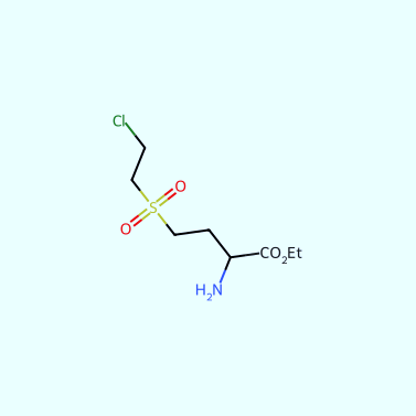 CCOC(=O)C(N)CCS(=O)(=O)CCCl